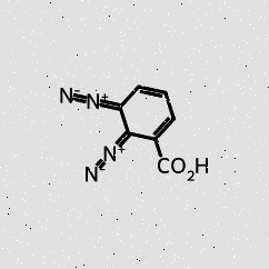 [N-]=[N+]=C1C=CC=C(C(=O)O)C1=[N+]=[N-]